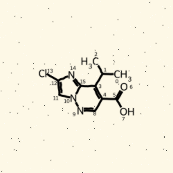 CC(C)c1c(C(=O)O)cnn2cc(Cl)nc12